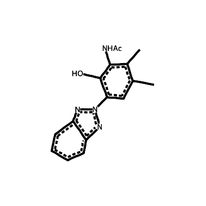 CC(=O)Nc1c(C)c(C)cc(-n2nc3ccccc3n2)c1O